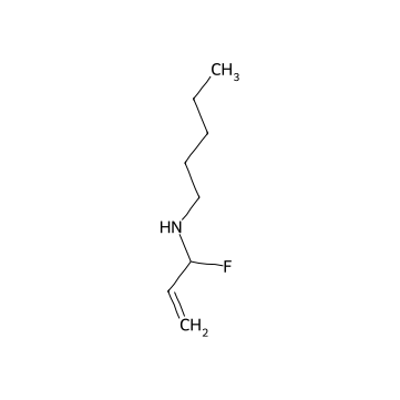 C=CC(F)NCCCCC